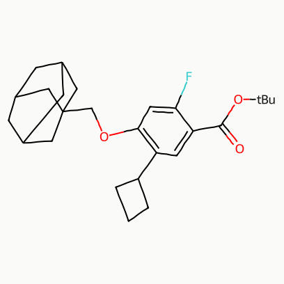 CC(C)(C)OC(=O)c1cc(C2CCC2)c(OCC23CC4CC(CC(C4)C2)C3)cc1F